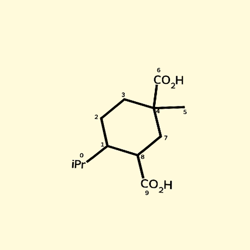 CC(C)C1CCC(C)(C(=O)O)CC1C(=O)O